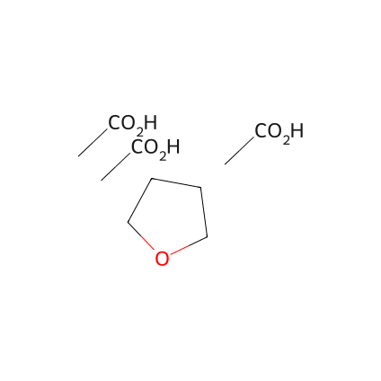 C1CCOC1.CC(=O)O.CC(=O)O.CC(=O)O